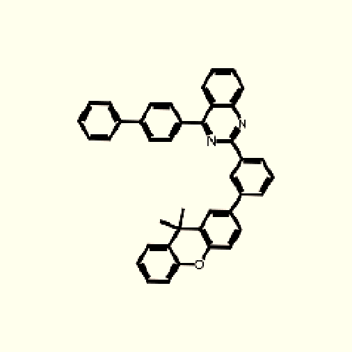 CC1(C)c2ccccc2Oc2ccc(-c3cccc(-c4nc(-c5ccc(-c6ccccc6)cc5)c5ccccc5n4)c3)cc21